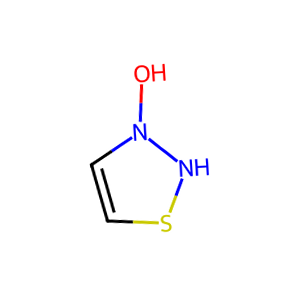 ON1C=CSN1